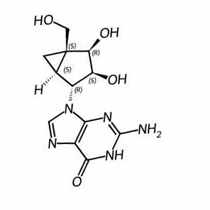 Nc1nc2c(ncn2[C@H]2[C@H](O)[C@H](O)[C@@]3(CO)C[C@H]23)c(=O)[nH]1